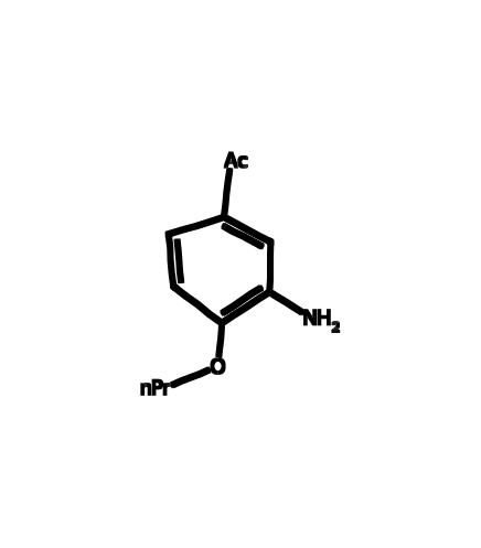 CCCOc1ccc(C(C)=O)cc1N